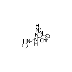 N#Cc1c(NCCNC2CCCCC2)nc(N)nc1-c1ccco1